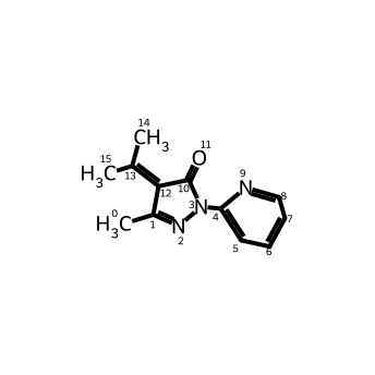 CC1=NN(c2ccccn2)C(=O)C1=C(C)C